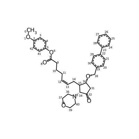 COc1ccc(OC(=O)CCC/C=C\CC2[C@@H](OCc3ccc(-c4ccccc4)cc3)CC(=O)[C@@H]2N2CCOCC2)cc1